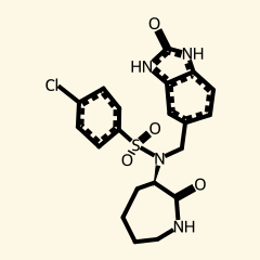 O=C1NCCCC[C@H]1N(Cc1ccc2[nH]c(=O)[nH]c2c1)S(=O)(=O)c1ccc(Cl)cc1